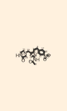 CC(=O)Nc1nc(/C=C\c2ccc([N+](=O)[O-])cc2)c(CN2CCNC(=O)C2)s1